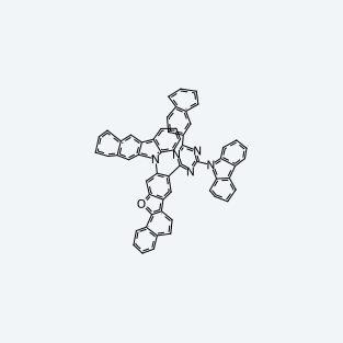 c1ccc2cc(-c3nc(-c4cc5c(cc4-n4c6ccccc6c6cc7ccccc7cc64)oc4c6ccccc6ccc54)nc(-n4c5ccccc5c5ccccc54)n3)ccc2c1